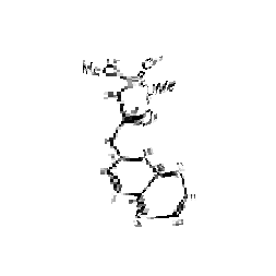 COP(=O)(CC(=O)Cc1ccc2ccccc2c1)OC